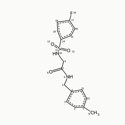 Cc1ccc(CNC(=O)CNS(=O)(=O)c2ccc(F)cc2)cc1